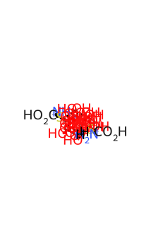 N[C@H](CSCC1O[C@@H](O[C@@H]2C(CO)O[C@H](O[C@@H]3C(CO)O[C@H](O[C@@H]4C(CO)OCC(O)[C@H]4O)[C@@H](O)C3O)[C@@H](O)C2O)[C@@H](O)C(O)[C@@H]1O[C@@H]1OC(CO)[C@@H](O[C@@H]2OC(CO)[C@H]3O[C@H]4OC(CSC[C@@H](N)C(=O)O)[C@@H](O)[C@H](O)C4OC3[C@@H]2O)[C@H](O)C1O)C(=O)O